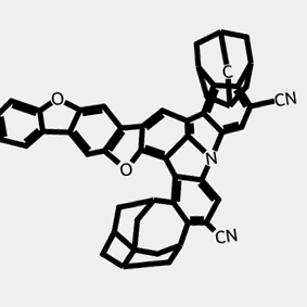 N#Cc1cc2c(c3c1C1CC4CC(C1)CC3C4)c1cc3c4cc5oc6ccccc6c5cc4oc3c3c4c5c(c(C#N)cc4n2c13)C1CC2CC3CC5CC23C1